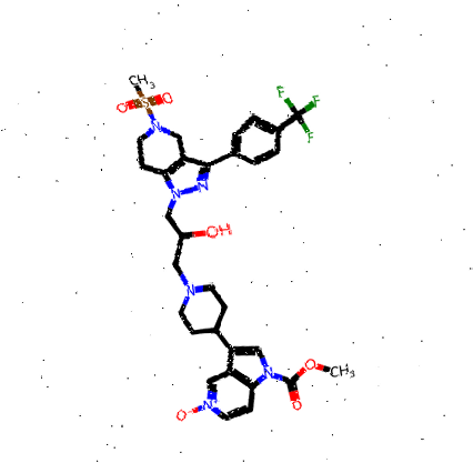 COC(=O)n1cc(C2CCN(CC(O)Cn3nc(-c4ccc(C(F)(F)F)cc4)c4c3CCN(S(C)(=O)=O)C4)CC2)c2c[n+]([O-])ccc21